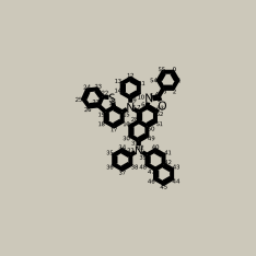 c1ccc(-c2nc3c(N(c4ccccc4)c4cccc5c4sc4ccccc45)c4ccc(N(c5ccccc5)c5ccc6ccccc6c5)cc4cc3o2)cc1